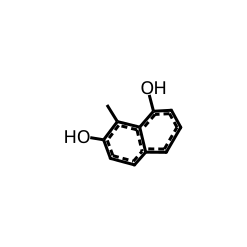 Cc1c(O)ccc2cccc(O)c12